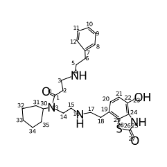 O=C(CCNCCc1ccccc1)N(CCNCCc1ccc(O)c2[nH]c(=O)sc12)C1CCCCC1